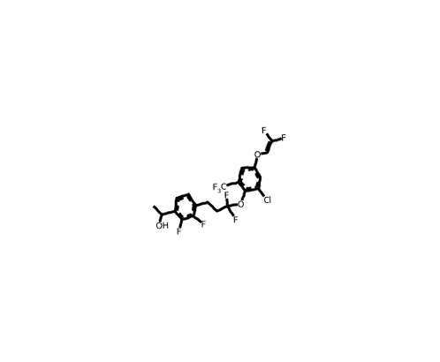 CC(O)c1ccc(CCC(F)(F)Oc2c(Cl)cc(OC=C(F)F)cc2C(F)(F)F)c(F)c1F